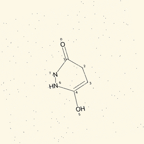 O=C1CC=C(O)N[N]1